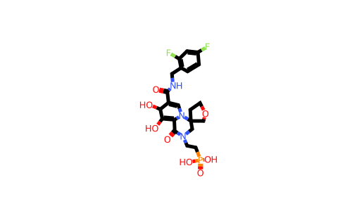 O=C(NCc1ccc(F)cc1F)C1=CN2C(=C(O)C1O)C(=O)N(CCP(=O)(O)O)CC21CCOC1